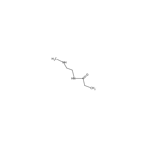 [CH2]CC(=O)NCCNC